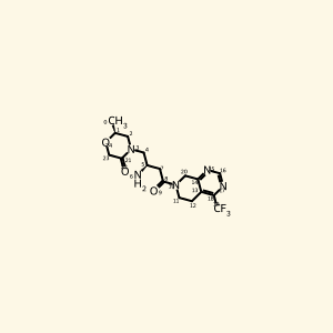 C[C@H]1CN(C[C@H](N)CC(=O)N2CCc3c(ncnc3C(F)(F)F)C2)C(=O)CO1